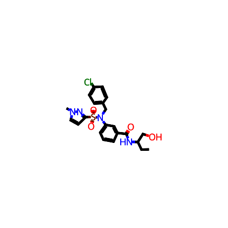 CCC(CO)NC(=O)c1cccc(N(Cc2ccc(Cl)cc2)S(=O)(=O)c2ccn(C)n2)c1